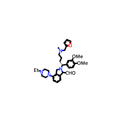 CCN1CCN(c2cccc3c2CN([C@H](CCCN(C)Cc2ccco2)c2ccc(OC)c(OC)c2)C3C=O)CC1